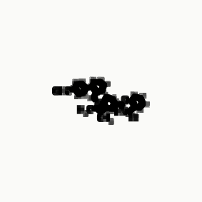 CC[C@@H](NC(=O)c1ccc2c(c1)c(C)c(C)n2Cc1ccccc1-c1ccc(C=O)cc1)c1ccccc1